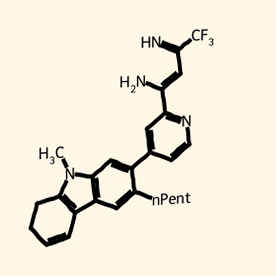 CCCCCc1cc2c3c(n(C)c2cc1-c1ccnc(/C(N)=C/C(=N)C(F)(F)F)c1)CCC=C3